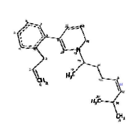 C=CCc1ccccc1C1=CN(C(C)CC/C=C\C(C)C)CC=C1